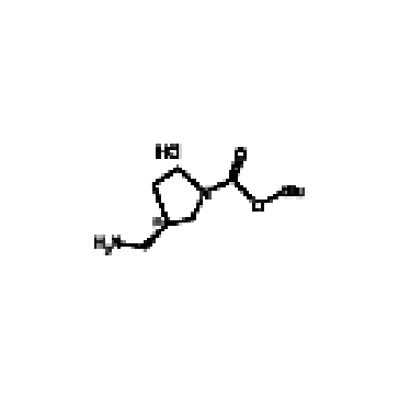 CC(C)(C)OC(=O)N1CC[C@H](CN)C1.Cl